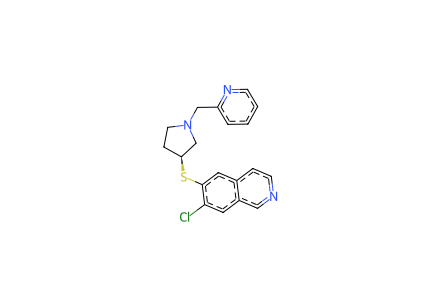 Clc1cc2cnccc2cc1S[C@H]1CCN(Cc2ccccn2)C1